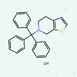 [LiH].c1ccc(C(c2ccccc2)(c2ccccc2)N2CCc3ccsc3C2)cc1